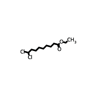 CCOC(=O)CCCCCCCC(Cl)Cl